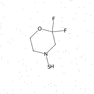 FC1(F)CN(S)CCO1